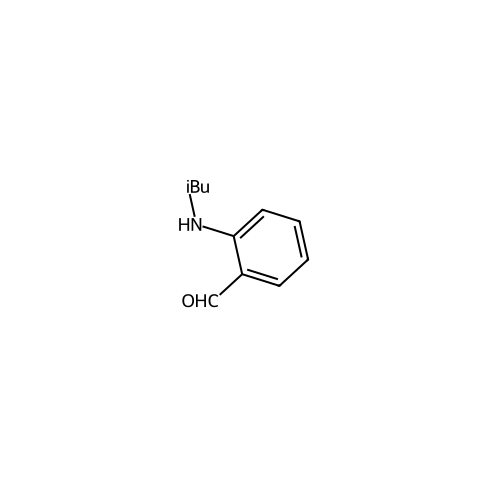 CCC(C)Nc1ccccc1C=O